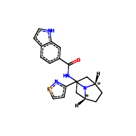 O=C(NC1C[C@H]2CC[C@@H](C1)N2Cc1ccsn1)c1ccc2cc[nH]c2c1